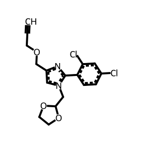 C#CCOCc1cn(CC2OCCO2)c(-c2ccc(Cl)cc2Cl)n1